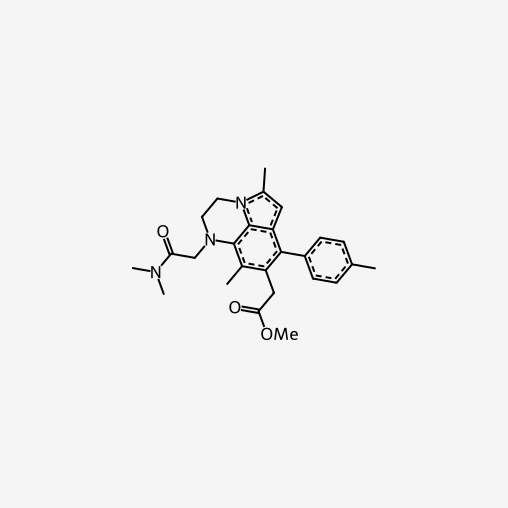 COC(=O)Cc1c(C)c2c3c(cc(C)n3CCN2CC(=O)N(C)C)c1-c1ccc(C)cc1